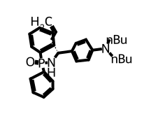 C=CC[C@@H](NP(=O)(c1ccccc1)c1ccccc1)c1ccc(N(CCCC)CCCC)cc1